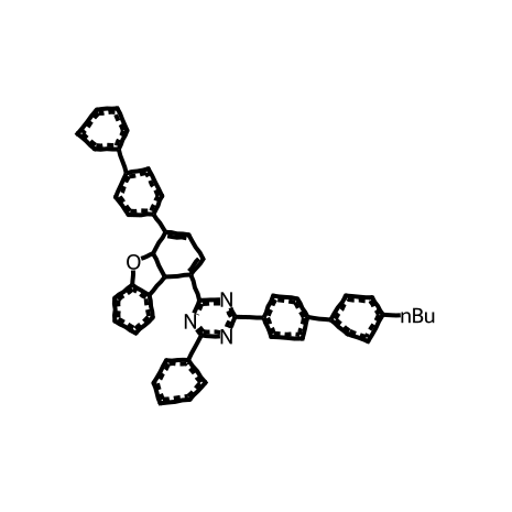 CCCCc1ccc(-c2ccc(-c3nc(C4=CC=C(c5ccc(-c6ccccc6)cc5)C5Oc6ccccc6C45)nc(-c4ccccc4)n3)cc2)cc1